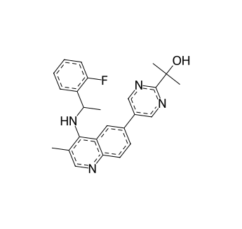 Cc1cnc2ccc(-c3cnc(C(C)(C)O)nc3)cc2c1NC(C)c1ccccc1F